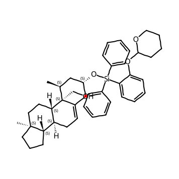 C[C@H]1C[C@H](O[Si](c2ccccc2)(c2ccccc2)c2ccccc2OC2CCCCO2)CC2=CC[C@H]3[C@@H]4CCC[C@@]4(C)CC[C@@H]3[C@]21CO